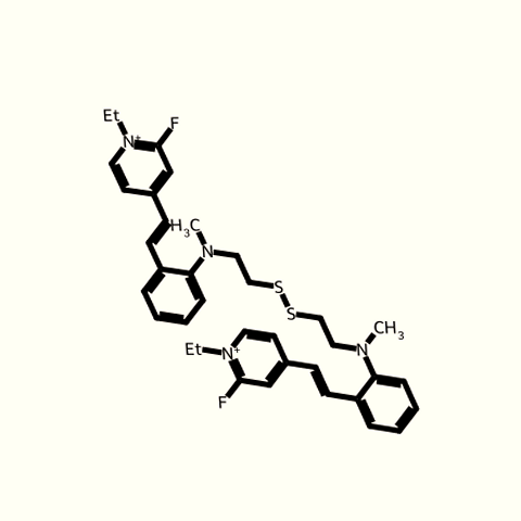 CC[n+]1ccc(/C=C/c2ccccc2N(C)CCSSCCN(C)c2ccccc2/C=C/c2cc[n+](CC)c(F)c2)cc1F